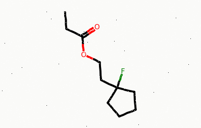 CCC(=O)OCCC1(F)CCCC1